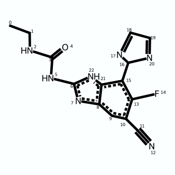 CCNC(=O)Nc1nc2cc(C#N)c(F)c(C3N=CC=N3)c2[nH]1